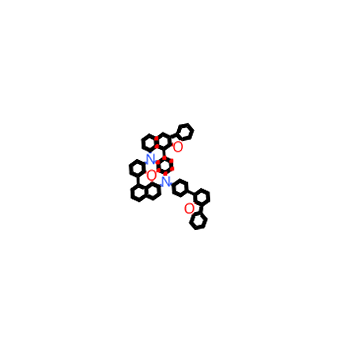 c1ccc(N(c2ccccc2)c2cccc3c2Oc2c(N(c4ccc(-c5cccc6c5oc5ccccc56)cc4)c4ccc(-c5cccc6c5oc5ccccc56)cc4)ccc4cccc-3c24)cc1